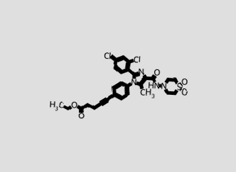 CCOC(=O)CCC#Cc1ccc(-n2c(-c3ccc(Cl)cc3Cl)nc(C(=O)NN3CCS(=O)(=O)CC3)c2C)cc1